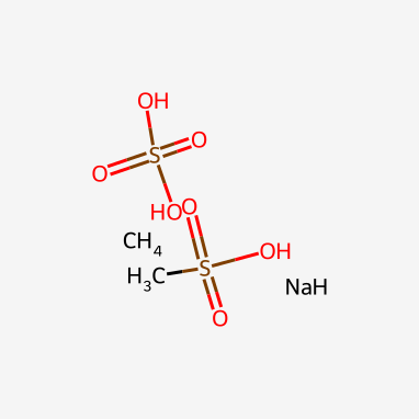 C.CS(=O)(=O)O.O=S(=O)(O)O.[NaH]